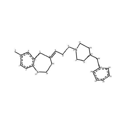 Cc1ccc2c(c1)CC(=CCCN1CCC(Cc3ccccc3)CC1)CCS2